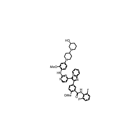 COc1cc(N2CCC(N3CCC[C@H](O)C3)CC2)ccc1Nc1nccc(-c2c(-c3ccc(OC)c(C(=O)Nc4c(F)cccc4F)c3)nc3ccccn23)n1